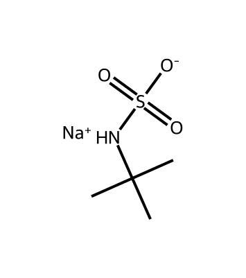 CC(C)(C)NS(=O)(=O)[O-].[Na+]